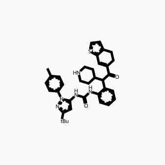 Cc1ccc(-n2nc(C(C)(C)C)cc2NC(=O)Nc2ccccc2C(C(=O)C2=Cc3sccc3CC2)C2CCNCC2)cc1